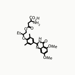 CCC(COC(=O)CC(N)C(=O)O)Oc1c(C)cc(-c2nc3cc(OC)cc(OC)c3c(=O)[nH]2)cc1C